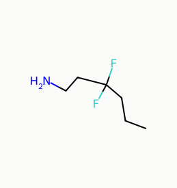 CCCC(F)(F)CCN